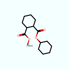 CCCCCCCCCOC(=O)C1CCCCC1C(=O)OC1CCCCC1